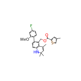 COc1cc(F)ccc1-c1ccc2c(c1COC(=O)c1cc(C)cs1)C(C)=CC(C)(C)N2